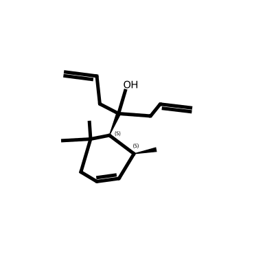 C=CCC(O)(CC=C)[C@H]1[C@@H](C)C=CCC1(C)C